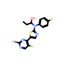 CCC(O)N(c1ccc(F)cc1)c1ncc(-c2nc(Cl)ncc2F)s1